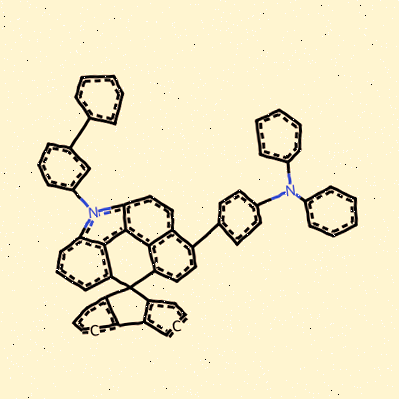 c1ccc(-c2cccc(-n3c4cccc5c4c4c6c(ccc(-c7ccc(N(c8ccccc8)c8ccccc8)cc7)c6ccc43)C53c4ccccc4-c4ccccc43)c2)cc1